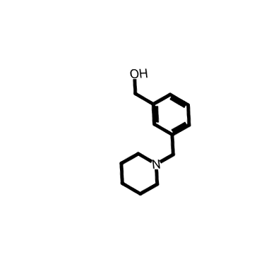 OCc1cccc(CN2CCCCC2)c1